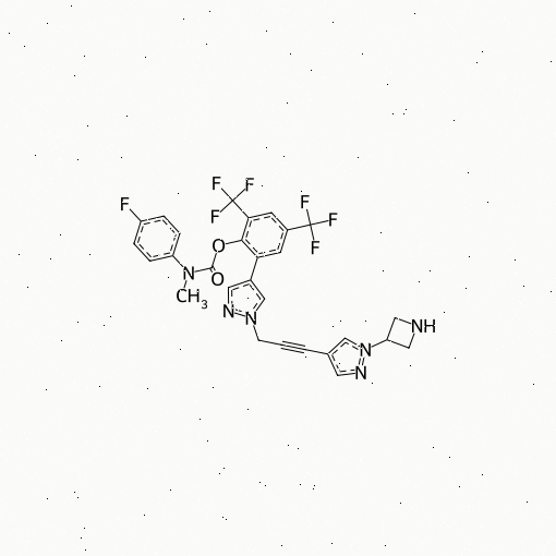 CN(C(=O)Oc1c(-c2cnn(CC#Cc3cnn(C4CNC4)c3)c2)cc(C(F)(F)F)cc1C(F)(F)F)c1ccc(F)cc1